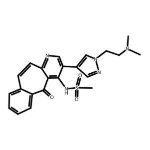 CN(C)CCn1cc(-c2cnc3ccc4ccccc4c(=O)c3c2NS(C)(=O)=O)cn1